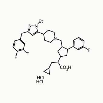 CCn1nc(Cc2ccc(F)c(F)c2)cc1C1CCN(CC2CC([C@H](CC3CC3)C(=O)O)CC2c2cccc(F)c2)CC1.Cl.Cl